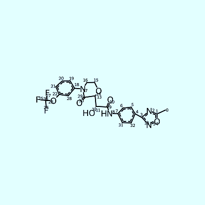 Cc1nc(-c2ccc(NC(=O)[C@H](O)[C@H]3OCCN(c4cccc(OC(F)(F)F)c4)C3=O)cc2)no1